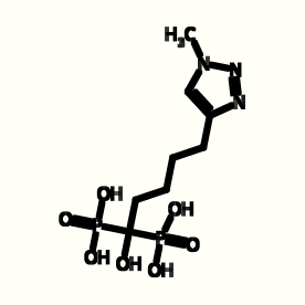 Cn1cc(CCCCC(O)(P(=O)(O)O)P(=O)(O)O)nn1